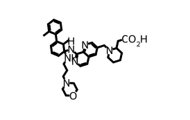 Cc1ccccc1C1=CC=CC(NCCCN2CCOCC2)(Nc2nccc3cc(CN4CCCCC4CC(=O)O)cnc23)C1C